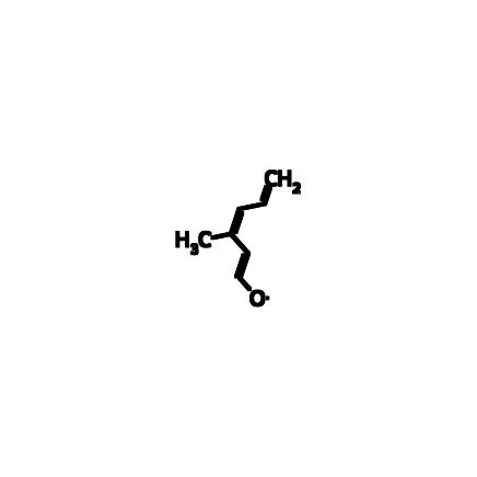 C=CC=C(C)C=C[O]